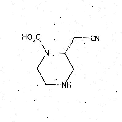 N#CC[C@@H]1CNCCN1C(=O)O